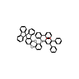 c1ccc(-c2ccc(N(c3ccccc3-c3ccccc3)c3cccc4c3Oc3c(ccc5c3-c3ccccc3C53c5ccccc5-c5ccccc53)O4)cc2-c2ccccc2)cc1